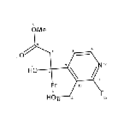 CCC(O)(CC(=O)OC)c1ccnc(F)c1CO